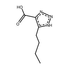 CCCCc1[nH]nnc1C(=O)O